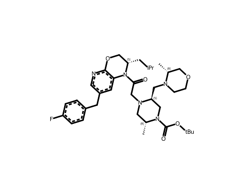 CC(C)C[C@H]1COc2ncc(Cc3ccc(F)cc3)cc2N1C(=O)CN1C[C@@H](C)N(C(=O)OC(C)(C)C)C[C@@H]1CN1CCOC[C@H]1C